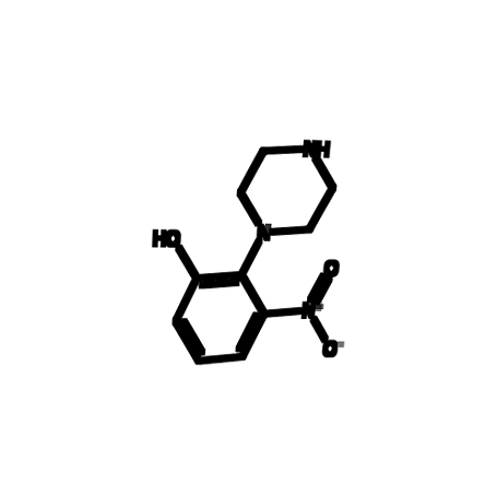 O=[N+]([O-])c1cccc(O)c1N1CCNCC1